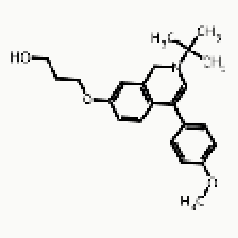 COc1ccc(C2=CN(C(C)(C)C)Cc3cc(OCCCO)ccc32)cc1